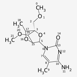 COC[C@@]12OC(n3cc(C)c(N)nc3=O)C(OC1C)C2OC